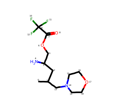 CC(CC(N)COC(=O)C(F)(F)F)CN1CCOCC1